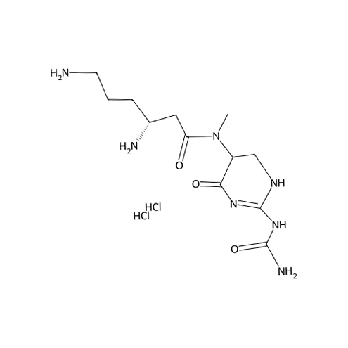 CN(C(=O)C[C@H](N)CCCN)C1CNC(NC(N)=O)=NC1=O.Cl.Cl